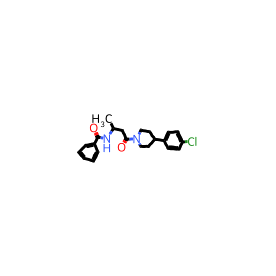 CC(CC(=O)N1CCC(c2ccc(Cl)cc2)CC1)NC(=O)c1ccccc1